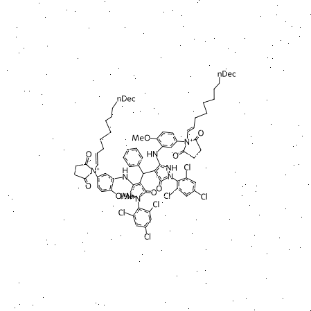 CCCCCCCCCCCCCCCCC=C[N+]1(c2ccc(OC)c(Nc3[nH]n(-c4c(Cl)cc(Cl)cc4Cl)c(=O)c3C(c3ccccc3)c3c(Nc4cc([N+]5(C=CCCCCCCCCCCCCCCCC)C(=O)CCC5=O)ccc4OC)[nH]n(-c4c(Cl)cc(Cl)cc4Cl)c3=O)c2)C(=O)CCC1=O